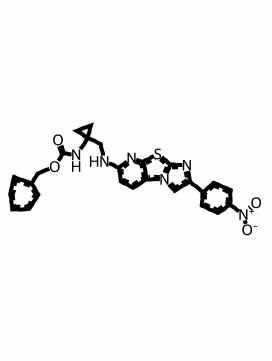 O=C(NC1(CNc2ccc3c(n2)sc2nc(-c4ccc([N+](=O)[O-])cc4)cn23)CC1)OCc1ccccc1